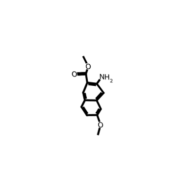 COC(=O)c1cc2ccc(OC)cc2cc1N